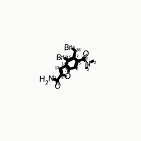 CN(C)C(=O)c1cc2oc(C(N)=O)cc2c(Br)c1CBr